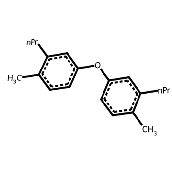 CCCc1cc(Oc2ccc(C)c(CCC)c2)ccc1C